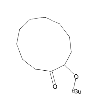 CC(C)(C)OC1CCCCCCCCCC1=O